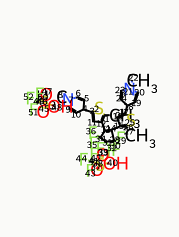 Cc1sc(C2C=CN(C)C=C2)cc1C1=C(c2cc(C3C=CN(C)C=C3)sc2C)C(F)(F)C(F)(F)C1(F)F.O=S(=O)(O)C(F)(F)F.O=S(=O)(O)C(F)(F)F